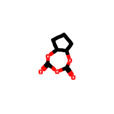 O=C1OC(=O)OC2CCCC2O1